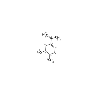 C=C(C)C1=CCC(C)C(O)C1